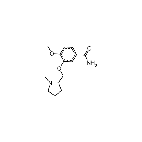 COc1ccc(C(N)=O)cc1OCC1CCCN1C